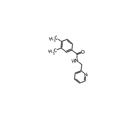 Cc1ccc(C(=O)NCc2ccccn2)cc1C